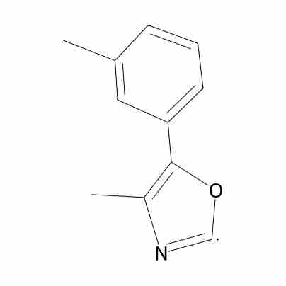 Cc1cccc(-c2o[c]nc2C)c1